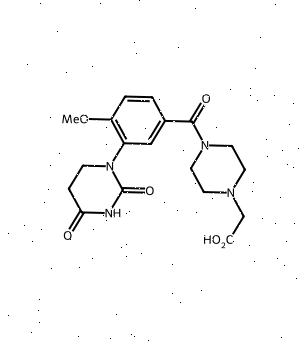 COc1ccc(C(=O)N2CCN(CC(=O)O)CC2)cc1N1CCC(=O)NC1=O